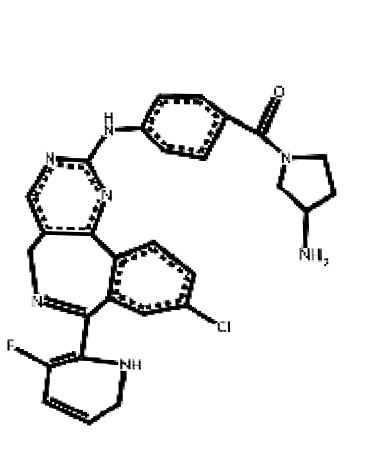 NC1CCN(C(=O)c2ccc(Nc3ncc4c(n3)-c3ccc(Cl)cc3C(C3=C(F)C=CCN3)=NC4)cc2)C1